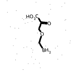 BCOCC(=O)C(=O)O